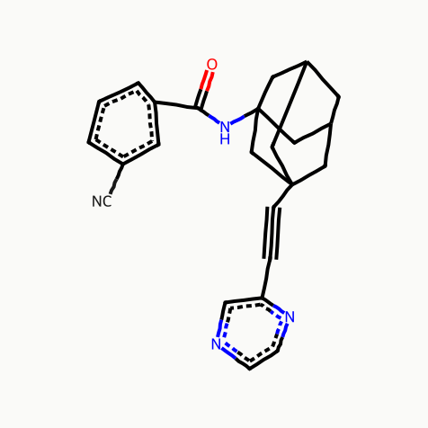 N#Cc1cccc(C(=O)NC23CC4CC(CC(C#Cc5cnccn5)(C4)C2)C3)c1